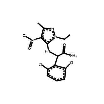 CCn1nc(C)c([N+](=O)[O-])c1NC(C(N)=O)c1c(Cl)cccc1Cl